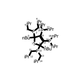 CCCCC1(P(CC(C)C)CC(C)C)SC(CCCC)(P(CC(C)C)CC(C)C)C(P(CCC)CCC)=C1P(CCC)CCC